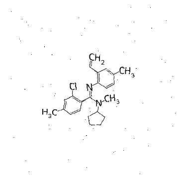 C=Cc1cc(C)ccc1/N=C(/c1ccc(C)cc1Cl)N(C)C1CCCC1